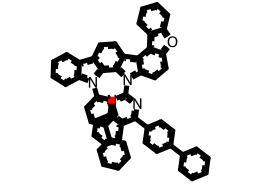 c1ccc(-c2ccc(-c3nc(-n4c5ccc6oc7ccccc7c6c5c5ccc6c7ccccc7n(-c7ccc(-c8ccccc8)cc7)c6c54)nc4ccccc34)cc2)cc1